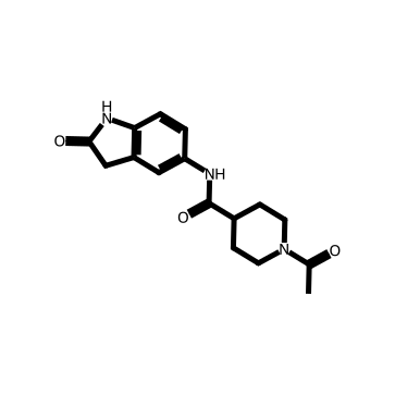 CC(=O)N1CCC(C(=O)Nc2ccc3c(c2)CC(=O)N3)CC1